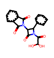 O=C1c2ccccc2C(=O)N1C1C(=O)N(C(=O)C(O)O)C1c1ccccc1